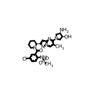 Cc1cn2nc([C@@H]3CCCCN3C(=O)c3cc(Cl)ccc3NS(C)(=O)=O)cc2nc1N1C[C@H](N)[C@@H](O)C1